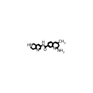 CC1=Cc2ccc(C(=O)Nc3cnc4c(c3)CNCC4)cc2N=C(N)C1